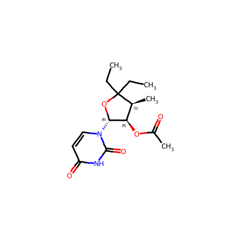 CCC1(CC)O[C@@H](n2ccc(=O)[nH]c2=O)[C@H](OC(C)=O)[C@@H]1C